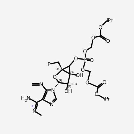 C=Nc1c(/C(N)=N\C)ncn1[C@@H]1O[C@]2(CF)C(OP(=O)(OCOC(=O)OC(C)C)OCOC(=O)OC(C)C)[C@]2(O)[C@@]1(C)O